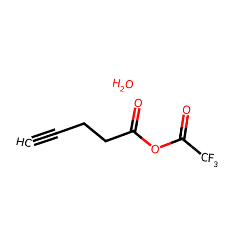 C#CCCC(=O)OC(=O)C(F)(F)F.O